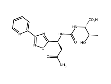 CC(O)[C@H](NC(=O)N[C@@H](CC(N)=O)c1nc(-c2ccccn2)no1)C(=O)O